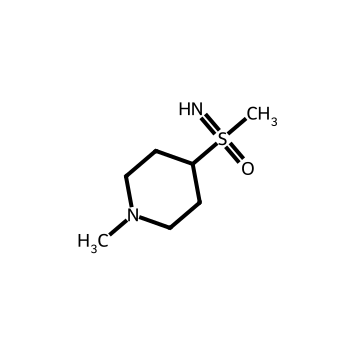 CN1CCC(S(C)(=N)=O)CC1